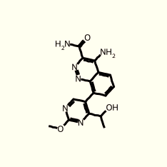 COc1ncc(-c2cccc3c(N)c(C(N)=O)nnc23)c(C(C)O)n1